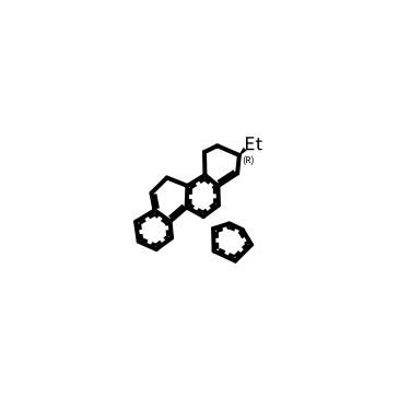 CC[C@H]1C=c2ccc3c(c2CC1)CC=c1ccccc1=3.c1ccccc1